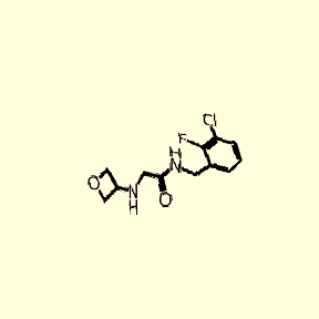 O=C(CNC1COC1)NCc1cccc(Cl)c1F